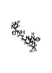 Cn1cnc(C(=O)NCCCc2ccc3c(n2)n(C)c(=O)n3CC(C)(C)C)c1